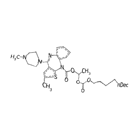 CCCCCCCCCCCCCCOC(=O)OC(C)OC(=O)N1c2ccccc2N=C(N2CCN(C)CC2)c2cc(C)sc21